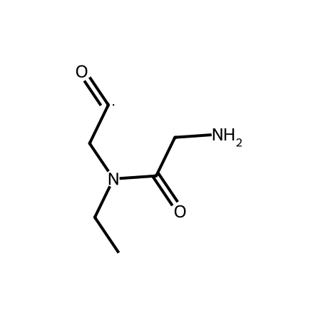 CCN(C[C]=O)C(=O)CN